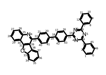 c1ccc(-c2nc(-c3ccccc3)nc(-c3ccc(-c4ccc(-c5nc6ccccc6c6oc7ccccc7c56)cc4)cc3)n2)cc1